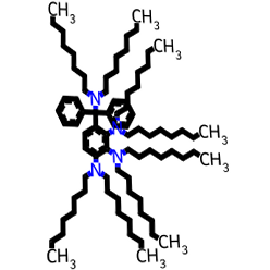 CCCCCCCCN(CCCCCCCC)c1ccc(C(c2ccccc2)(c2ccccc2)N(CCCCCCCC)CCCCCCCC)c(N(CCCCCCCC)CCCCCCCC)c1N(CCCCCCCC)CCCCCCCC